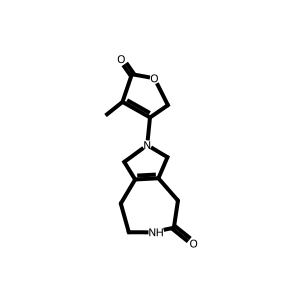 CC1=C(N2CC3=C(CC(=O)NCC3)C2)COC1=O